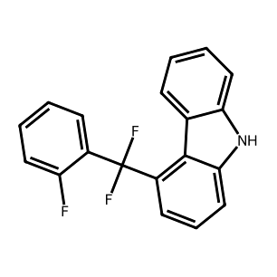 Fc1ccccc1C(F)(F)c1cccc2[nH]c3ccccc3c12